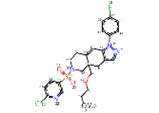 COCCOCC12Cc3cnn(-c4ccc(F)cc4)c3C=C1CCN(S(=O)(=O)c1ccc(Cl)nc1)C2